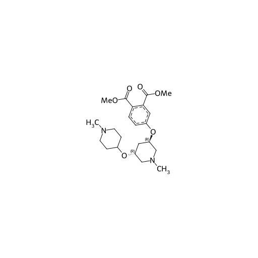 COC(=O)c1ccc(O[C@@H]2C[C@@H](OC3CCN(C)CC3)CN(C)C2)cc1C(=O)OC